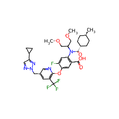 COCC(COC)N(c1cc(F)c(Oc2ncc(Cn3ncc(C4CC4)n3)cc2C(F)(F)F)cc1C(=O)O)C(=O)[C@H]1CC[C@H](C)CC1